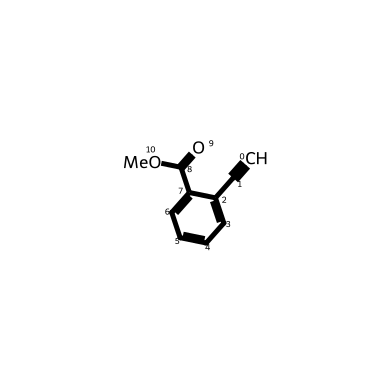 C#Cc1ccccc1C(=O)OC